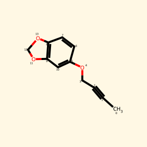 CC#CCOc1ccc2c(c1)OCO2